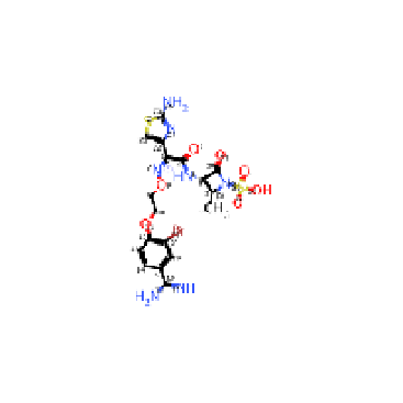 C[C@H]1[C@H](NC(=O)/C(=N\OCCOc2ccc(C(=N)N)cc2Br)c2csc(N)n2)C(=O)N1S(=O)(=O)O